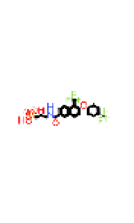 O=C(NCCCP(=O)(O)O)c1ccc2c(C(F)(F)F)c(O[C@H]3CC[C@@H](C(F)(F)F)CC3)ccc2c1